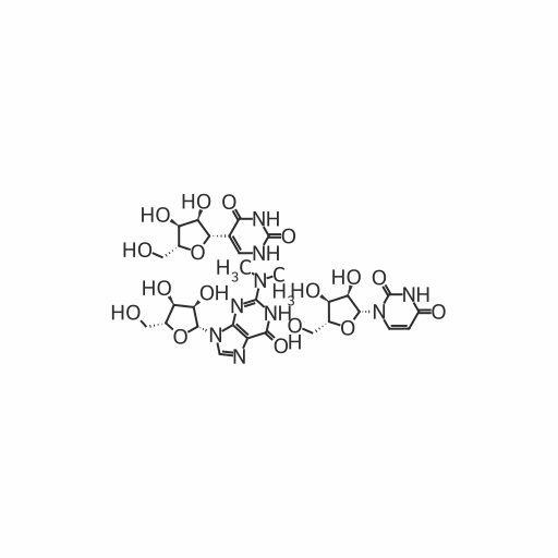 CN(C)c1nc2c(ncn2[C@@H]2O[C@H](CO)[C@@H](O)[C@H]2O)c(=O)[nH]1.O=c1[nH]cc([C@@H]2O[C@H](CO)[C@@H](O)[C@H]2O)c(=O)[nH]1.O=c1ccn([C@@H]2O[C@H](CO)[C@@H](O)[C@H]2O)c(=O)[nH]1